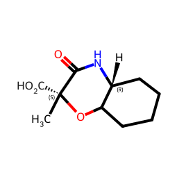 C[C@]1(C(=O)O)OC2CCCC[C@H]2NC1=O